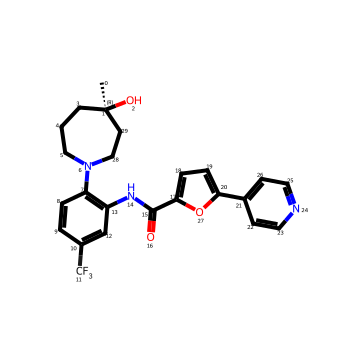 C[C@@]1(O)CCCN(c2ccc(C(F)(F)F)cc2NC(=O)c2ccc(-c3ccncc3)o2)CC1